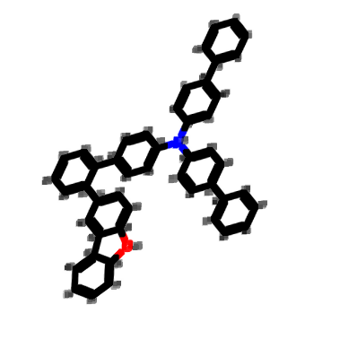 c1ccc(-c2ccc(N(c3ccc(-c4ccccc4)cc3)c3ccc(-c4ccccc4-c4ccc5oc6ccccc6c5c4)cc3)cc2)cc1